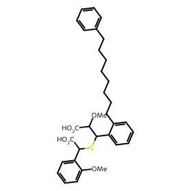 COc1ccccc1C(SC(c1ccccc1CCCCCCCCc1ccccc1)C(OC)C(=O)O)C(=O)O